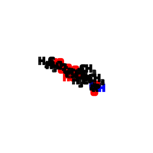 C=C/C=C\CCC1OC2CCC3(C)OC4C(O)CC5(C)OC(CC/C=C(C)/C(C)=C/Cn6ccc(=O)[nH]c6=O)C(C)CC5OC4CC3OC2CCC1(C)O